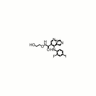 O=C(NOCCO)c1cnn2cncc2c1Nc1ccc(I)cc1F